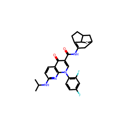 CC(C)Nc1ccc2c(=O)c(C(=O)NC3=C4CCC5CC(C3)CC45)cn(-c3ccc(F)cc3F)c2n1